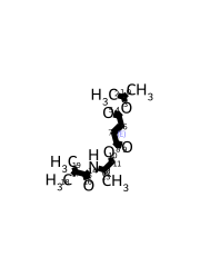 CC(C)OC(=O)/C=C/C(=O)OC[C@H](C)NC(=O)C(C)C